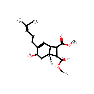 COC(=O)C1C2C=C(CCC=C(C)C)C(O)C[C@H]2C1C(=O)OC